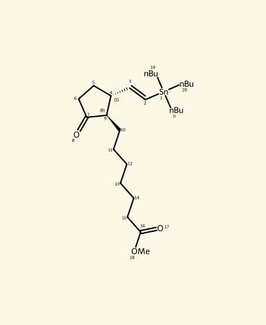 CCC[CH2][Sn]([CH]=C[C@H]1CCC(=O)[C@@H]1CCCCCCC(=O)OC)([CH2]CCC)[CH2]CCC